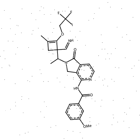 COc1cccc(C(=O)Nc2nccc3c2CN(C(C)C2(C=N)CC(C)=C2OCC(F)(F)I)C3=O)c1